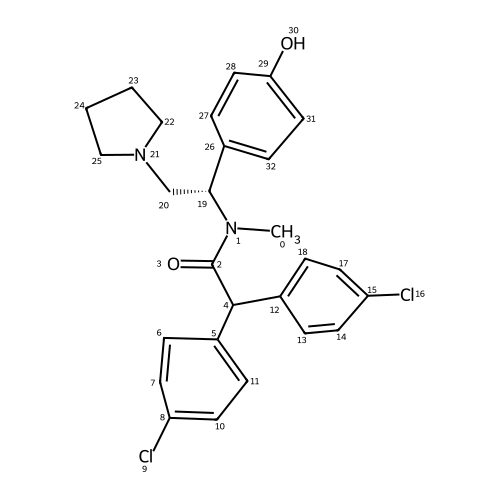 CN(C(=O)C(c1ccc(Cl)cc1)c1ccc(Cl)cc1)[C@H](CN1CCCC1)c1ccc(O)cc1